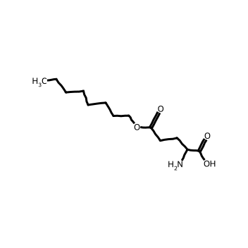 CCCCCCCCOC(=O)CCC(N)C(=O)O